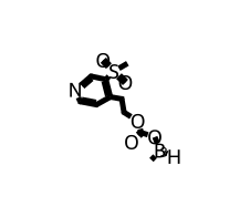 [3H]B(C)OC(=O)OCCc1ccncc1S(C)(=O)=O